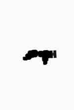 C=CC1CCC(OCOCCC2CCC(C(OO)C3CCC(C=C)CC3)CC2)CC1